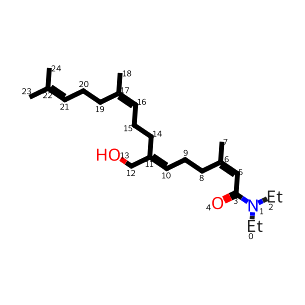 CCN(CC)C(=O)C=C(C)CCC=C(CO)CCC=C(C)CCC=C(C)C